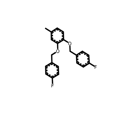 Cc1ccc(OCc2ccc(F)cc2)c(OCc2ccc(F)cc2)c1